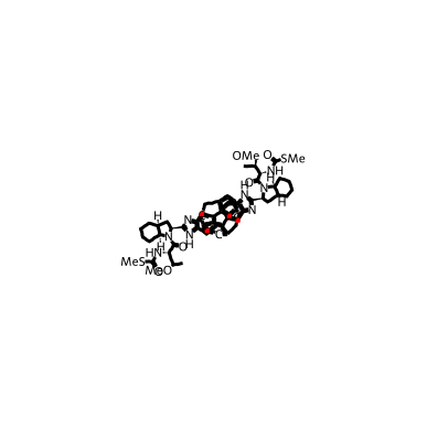 CO[C@H](C)[C@H](NC(=O)SC)C(=O)N1[C@H](c2nc3cc(-c4cc5ccc4CCc4ccc(c(-c6ccc7[nH]c([C@@H]8C[C@@H]9CCCC[C@@H]9N8C(=O)[C@@H](NC(=O)SC)[C@@H](C)OC)nc7c6)c4)CC5)ccc3[nH]2)C[C@@H]2CCCC[C@@H]21